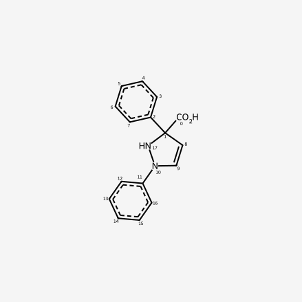 O=C(O)C1(c2ccccc2)C=CN(c2ccccc2)N1